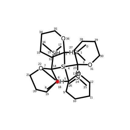 C[SiH](C)C1([Si](C2([SiH](C)C)CCCCO2)(C2([SiH](C)C)CCCCO2)C2([SiH](C)C)CCCCO2)CCCCO1